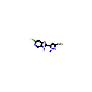 Cn1nc(C(C)(C)C)cc1-c1nc2cc(Br)ncc2[nH]1